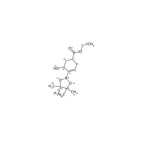 CCOC(=O)C1CC=C(B2OC(C)(C)C(C)(C)O2)C(O)C1